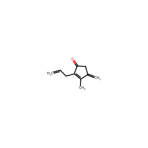 C=CCC1=C(C)C(=C)CC1=O